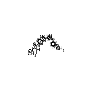 COCCNC(=O)Nc1ccc2ncc(-c3cnn(Cc4cccc(OC)c4)c3)nc2n1